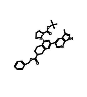 Cc1c[nH]c2ncc(-c3cc4c(c([C@@H]5CCCN5C(=O)OC(C)(C)C)c3)CCN(C(=O)OCc3ccccc3)C4)cc12